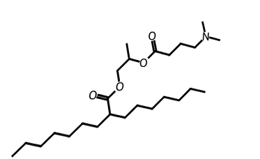 CCCCCCCC(CCCCCCC)C(=O)OCC(C)OC(=O)CCCN(C)C